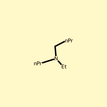 [CH2]CCN(CC)CCCC